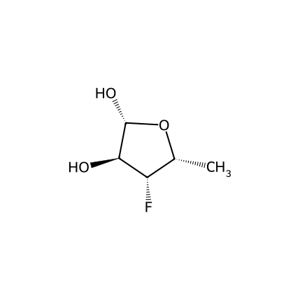 C[C@H]1O[C@@H](O)[C@H](O)[C@H]1F